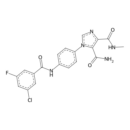 CNC(=O)c1ncn(-c2ccc(NC(=O)c3cc(F)cc(Cl)c3)cc2)c1C(N)=O